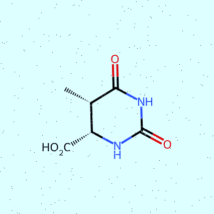 C[C@@H]1C(=O)NC(=O)N[C@@H]1C(=O)O